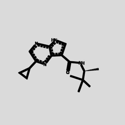 C[C@@H](NC(=O)c1c[nH]c2ncc(C3CC3)nc12)C(C)(C)C